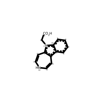 O=C(O)Cn1c2c(c3ccccc31)C=CNC=C2